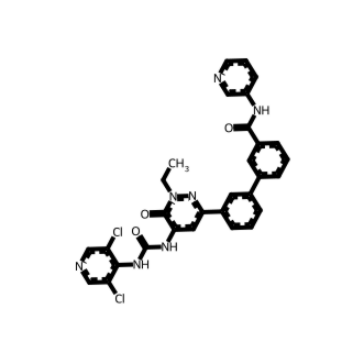 CCn1nc(-c2cccc(-c3cccc(C(=O)Nc4cccnc4)c3)c2)cc(NC(=O)Nc2c(Cl)cncc2Cl)c1=O